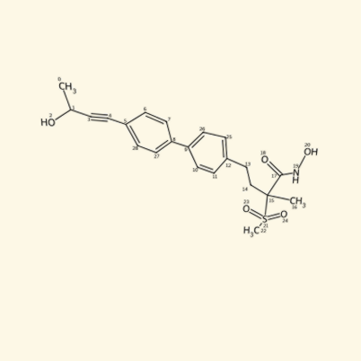 CC(O)C#Cc1ccc(-c2ccc(CCC(C)(C(=O)NO)S(C)(=O)=O)cc2)cc1